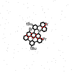 CC(C)c1cc(N(c2cccc(Br)c2)c2c(-c3ccccc3)cc(C(C)(C)C)cc2-c2ccccc2)cc(N(c2cccc(Br)c2)c2c(-c3ccccc3)cc(C(C)(C)C)cc2-c2ccccc2)c1